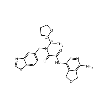 C[C@@H]([C@H]1CCCO1)N(Cc1ccc2scnc2c1)C(=O)C(=O)Nc1cnc(N)c2c1COC2